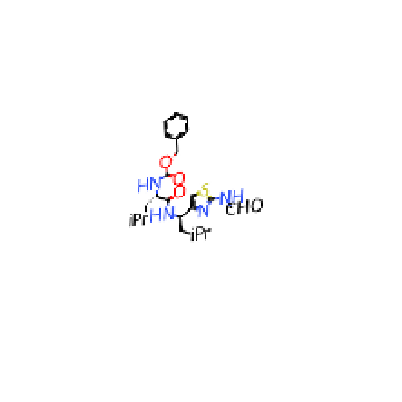 CC(C)C[C@H](NC(=O)OCc1ccccc1)C(=O)N[C@H](CC(C)C)c1csc(NC=O)n1